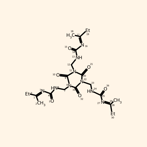 CC/C(C)=N/C(=O)NCn1c(=O)n(CNC(=O)/N=C(\C)CC)c(=O)n(CNC(=O)/N=C(\C)CC)c1=O